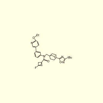 CCOc1ccc(-c2cccc(N(CC34CCC(c5nc(C(C)(C)C)no5)(CC3)CC4)C(=O)C34CC(F)(C3)C4)c2)cn1